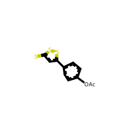 CC(=O)Oc1ccc(-c2cc(=S)ss2)cc1